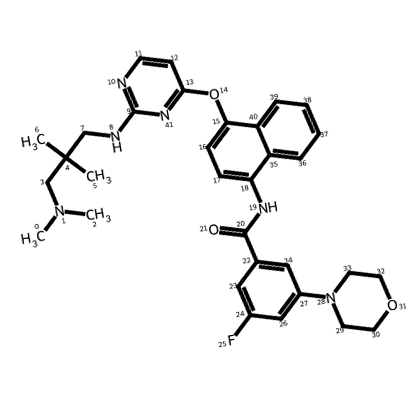 CN(C)CC(C)(C)CNc1nccc(Oc2ccc(NC(=O)c3cc(F)cc(N4CCOCC4)c3)c3ccccc23)n1